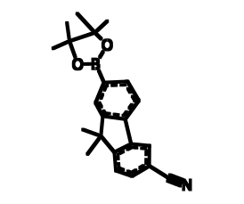 CC1(C)c2ccc(C#N)cc2-c2ccc(B3OC(C)(C)C(C)(C)O3)cc21